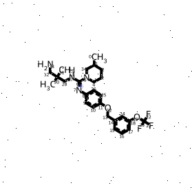 CC1CCCN(/C(=N\c2ccc(OCc3cccc(OC(F)(F)F)c3)cc2)NCC(C)(C)CN)C1